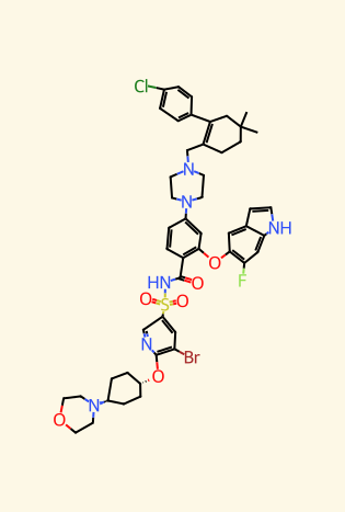 CC1(C)CCC(CN2CCN(c3ccc(C(=O)NS(=O)(=O)c4cnc(O[C@H]5CC[C@H](N6CCOCC6)CC5)c(Br)c4)c(Oc4cc5cc[nH]c5cc4F)c3)CC2)=C(c2ccc(Cl)cc2)C1